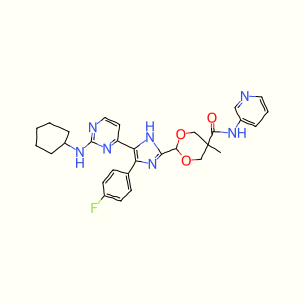 CC1(C(=O)Nc2cccnc2)COC(c2nc(-c3ccc(F)cc3)c(-c3ccnc(NC4CCCCC4)n3)[nH]2)OC1